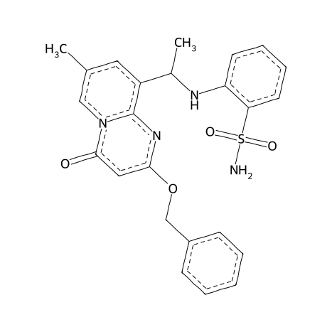 Cc1cc(C(C)Nc2ccccc2S(N)(=O)=O)c2nc(OCc3ccccc3)cc(=O)n2c1